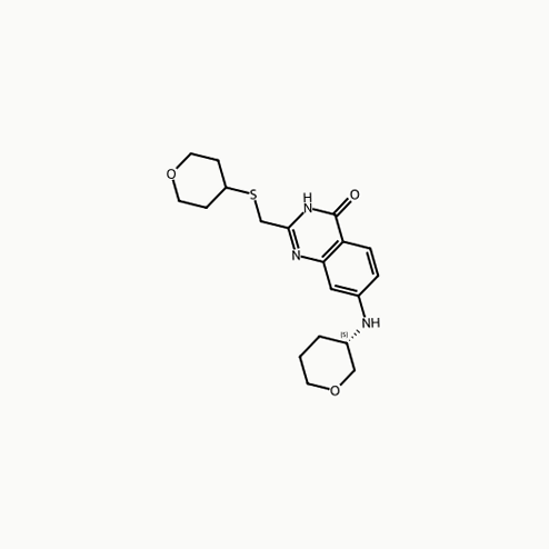 O=c1[nH]c(CSC2CCOCC2)nc2cc(N[C@H]3CCCOC3)ccc12